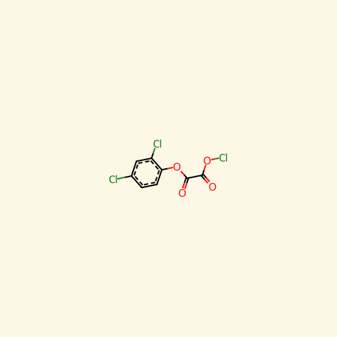 O=C(OCl)C(=O)Oc1ccc(Cl)cc1Cl